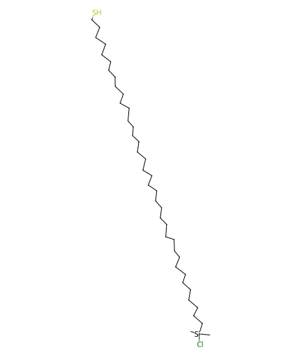 C[Si](C)(Cl)CCCCCCCCCCCCCCCCCCCCCCCCCCCCCCCCCCCCCCS